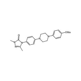 COc1ccc(N2CCN(c3ccc(-n4c(C)nn(C)c4=O)cc3)CC2)cc1